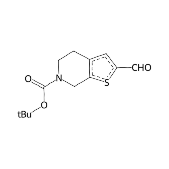 CC(C)(C)OC(=O)N1CCc2cc(C=O)sc2C1